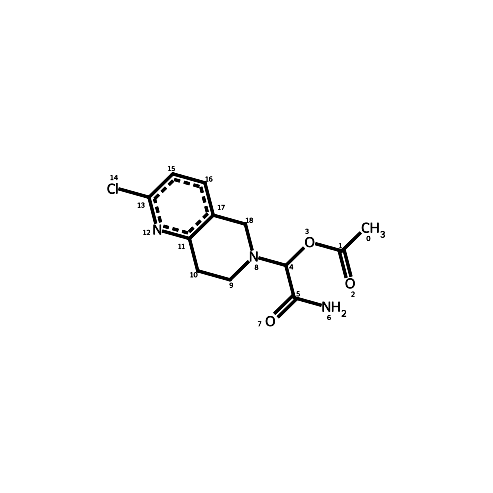 CC(=O)OC(C(N)=O)N1CCc2nc(Cl)ccc2C1